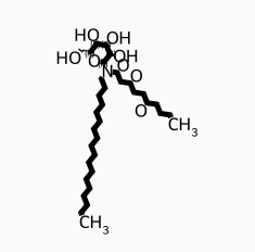 CCCCCCCCCCCCCCCCCCN(C(=O)CC(=O)CCC(=O)CCCC)[C@@H]1O[C@H](CO)[C@@H](O)[C@H](O)[C@H]1O